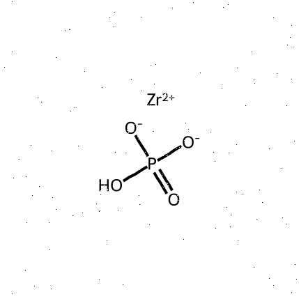 O=P([O-])([O-])O.[Zr+2]